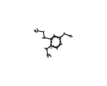 CCOc1cc(CCl)ccc1OC